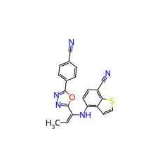 CC=C(Nc1ccc(C#N)c2sccc12)c1nnc(-c2ccc(C#N)cc2)o1